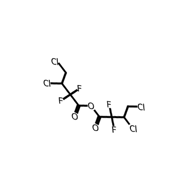 O=C(OC(=O)C(F)(F)C(Cl)CCl)C(F)(F)C(Cl)CCl